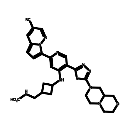 N#Cc1cnn2c(-c3cc(NC4CC(CNC(=O)O)C4)c(-c4nnc(N5CCN6CCOCC6C5)s4)cn3)ccc2c1